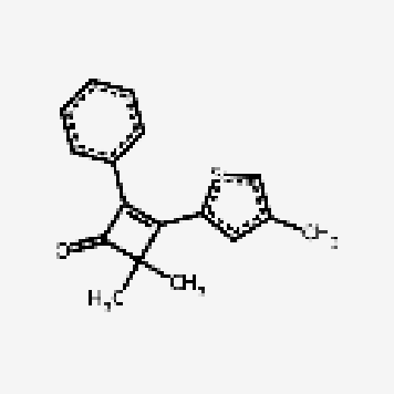 Cc1csc(C2=C(c3ccccc3)C(=O)C2(C)C)c1